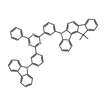 CC1(C)c2ccccc2-c2ccc3c(c21)c1ccccc1n3-c1cccc(-c2nc(-c3ccccc3)nc(-c3cccc(-n4c5ccccc5c5ccccc54)c3)n2)c1